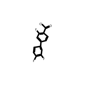 O=C(Cl)c1ccc(-c2ccc(F)c(F)c2)cc1F